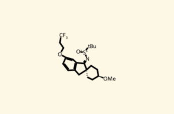 CO[C@H]1CC[C@]2(CC1)Cc1ccc(OCCC(F)(F)F)cc1C2=N[S+]([O-])C(C)(C)C